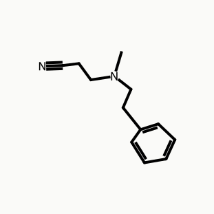 CN(CCC#N)CCc1ccccc1